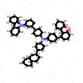 c1cc(-c2ccc(N(c3ccc(-c4ccc5ccccc5c4)cc3)c3ccc(-c4cccc5oc6ccccc6c45)cc3)cc2)cc(-n2c3ccccc3c3ccccc32)c1